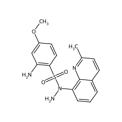 COc1ccc(S(=O)(=O)N(N)c2cccc3ccc(C)nc23)c(N)c1